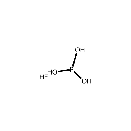 F.OP(O)O